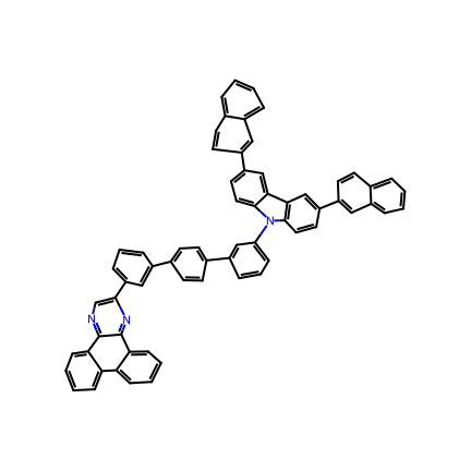 c1cc(-c2ccc(-c3cccc(-n4c5ccc(-c6ccc7ccccc7c6)cc5c5cc(-c6ccc7ccccc7c6)ccc54)c3)cc2)cc(-c2cnc3c4ccccc4c4ccccc4c3n2)c1